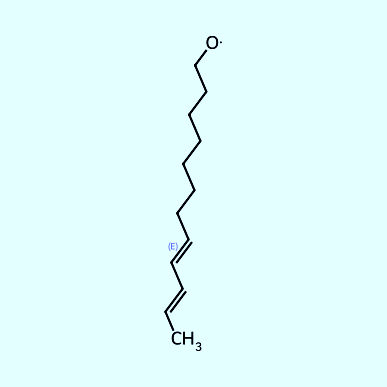 CC=C/C=C/CCCCCCC[O]